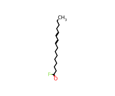 CCCC/C=C/C=C/CCCCCCCC(=O)F